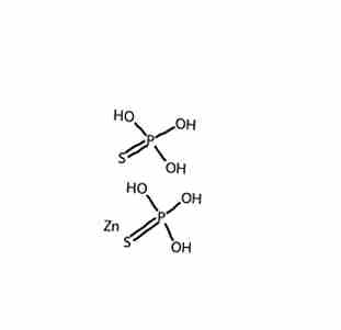 OP(O)(O)=S.OP(O)(O)=S.[Zn]